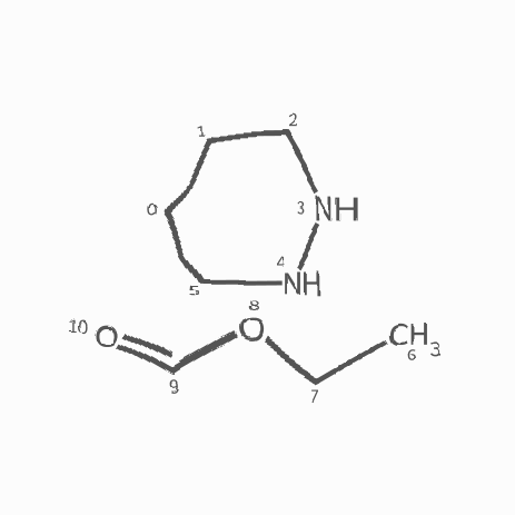 C1CCNNC1.CCOC=O